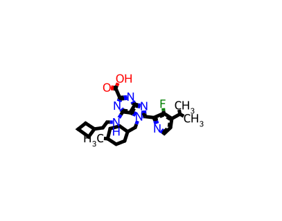 CC1CCC(Cn2c(-c3nccc(C(C)C)c3F)nc3nc(C(=O)O)nc(NCCC4CCC4)c32)CC1